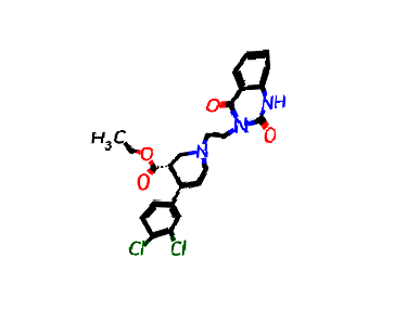 CCOC(=O)[C@@H]1CN(CCn2c(=O)[nH]c3ccccc3c2=O)CC[C@H]1c1ccc(Cl)c(Cl)c1